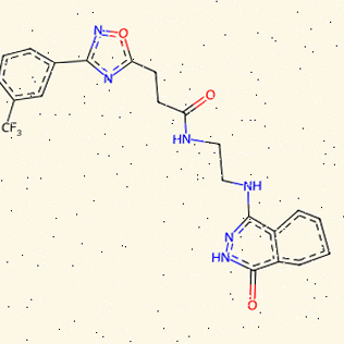 O=C(CCc1nc(-c2cccc(C(F)(F)F)c2)no1)NCCNc1n[nH]c(=O)c2ccccc12